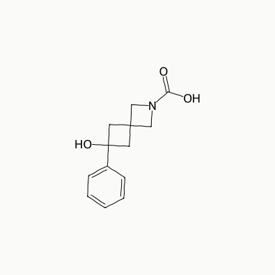 O=C(O)N1CC2(C1)CC(O)(c1ccccc1)C2